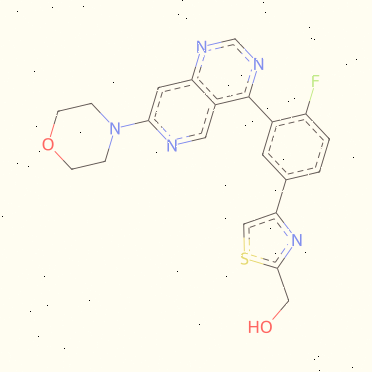 OCc1nc(-c2ccc(F)c(-c3ncnc4cc(N5CCOCC5)ncc34)c2)cs1